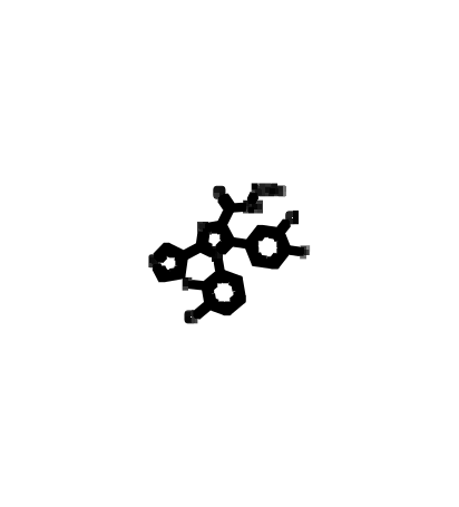 CC(=O)NNC(=O)c1nc(-c2ccsc2)n(-c2cccc(Cl)c2F)c1-c1ccc(F)c(Cl)c1